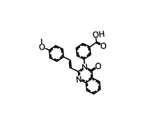 COc1ccc(/C=C/c2nc3ccccc3c(=O)n2-c2cccc(C(=O)O)c2)cc1